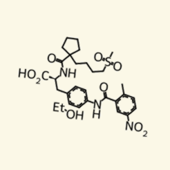 CCO.Cc1ccc([N+](=O)[O-])cc1C(=O)Nc1ccc(C[C@H](NC(=O)C2(CCCCS(C)(=O)=O)CCCC2)C(=O)O)cc1